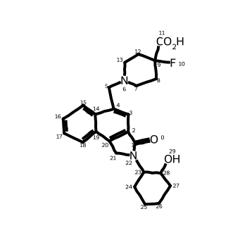 O=C1c2cc(CN3CCC(F)(C(=O)O)CC3)c3ccccc3c2CN1C1CCCCC1O